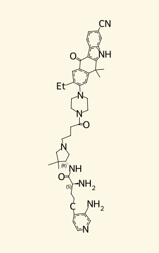 CCc1cc2c(cc1N1CCN(C(=O)CCCN3C[C@H](NC(=O)[C@@H](N)CCCc4ccncc4N)C(C)(C)C3)CC1)C(C)(C)c1[nH]c3cc(C#N)ccc3c1C2=O